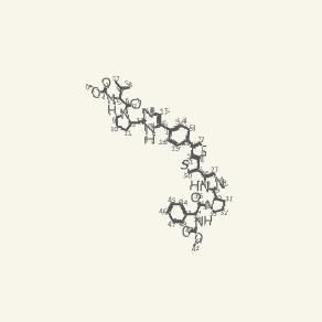 COC(=O)N[C@H](C(=O)N1CCCC1c1ncc(-c2ccc(-c3csc4c(-c5cnc(C6CCCN6C(=O)[C@H](NC(=O)OC)c6ccccc6)[nH]5)csc34)cc2)[nH]1)C(C)C